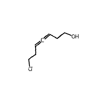 OCCC=C=CCCCl